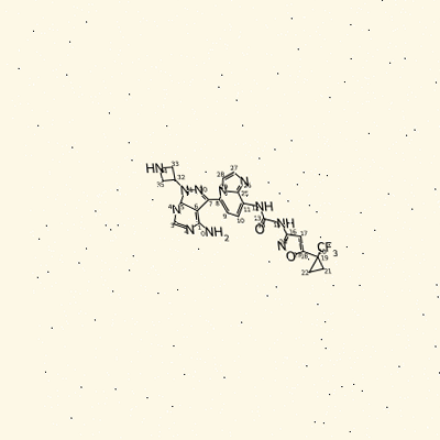 Nc1ncnc2c1c(-c1ccc(NC(=O)Nc3cc(C4(C(F)(F)F)CC4)on3)c3nccn13)nn2C1CNC1